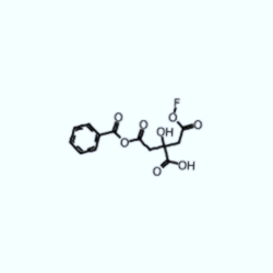 O=C(CC(O)(CC(=O)OC(=O)c1ccccc1)C(=O)O)OF